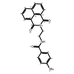 CC(C)(C)c1ccc(C(=O)NCCN2C(=O)c3cccc4cccc(c34)C2=O)cc1